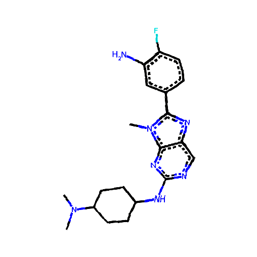 CN(C)C1CCC(Nc2ncc3nc(-c4ccc(F)c(N)c4)n(C)c3n2)CC1